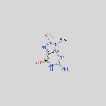 Bc1nc2c(=O)[nH]c(N)nc2n1CCC